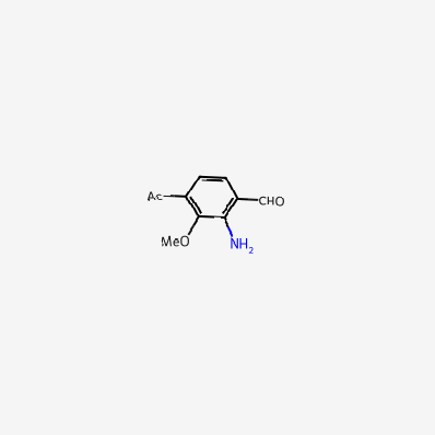 COc1c(C(C)=O)ccc(C=O)c1N